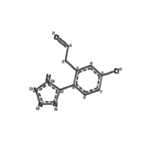 O=CCc1cc(Cl)ccc1-c1nnn[nH]1